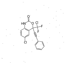 O=C1Nc2ccc(Cl)cc2C(C#Cc2ccccc2)(C(F)(F)Cl)O1